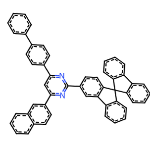 c1ccc(-c2ccc(-c3cc(-c4ccc5ccccc5c4)nc(-c4ccc5c(c4)-c4ccccc4C54c5ccccc5-c5ccccc54)n3)cc2)cc1